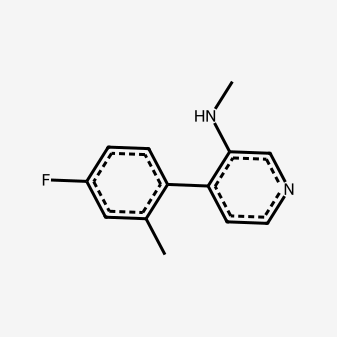 CNc1cnccc1-c1ccc(F)cc1C